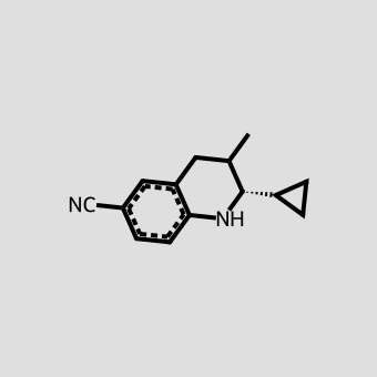 CC1Cc2cc(C#N)ccc2N[C@H]1C1CC1